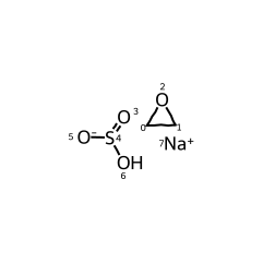 C1CO1.O=S([O-])O.[Na+]